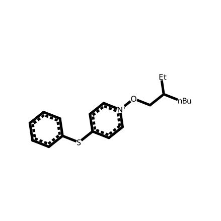 CCCCC(CC)CO[n+]1ccc(Sc2ccccc2)cc1